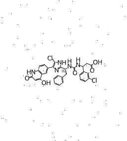 O=C(O)CC(NC(=O)N[C@@H](Cc1ccccc1)c1nc(-c2ccc3[nH]c(=O)cc(O)c3c2)c(Cl)[nH]1)c1cccc(Cl)c1